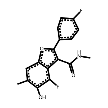 CNC(=O)c1c(-c2ccc(F)cc2)oc2cc(C)c(O)c(F)c12